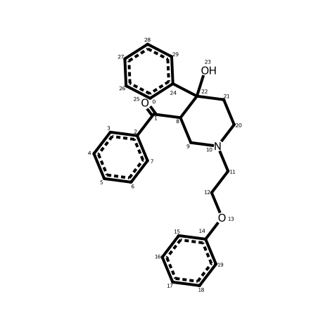 O=C(c1ccccc1)C1CN(CCOc2ccccc2)CCC1(O)c1ccccc1